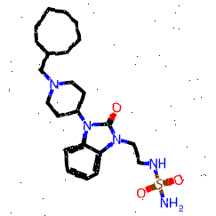 NS(=O)(=O)NCCn1c(=O)n(C2CCN(CC3CCCCCCC3)CC2)c2ccccc21